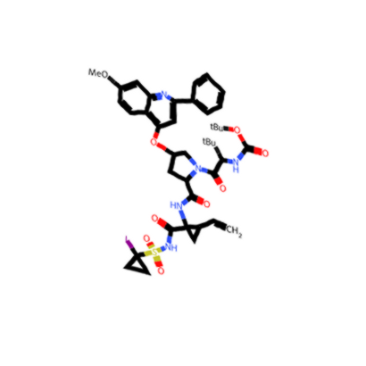 C=CC1CC1(NC(=O)C1CC(Oc2cc(-c3ccccc3)nc3cc(OC)ccc23)CN1C(=O)C(NC(=O)OC(C)(C)C)C(C)(C)C)C(=O)NS(=O)(=O)C1(I)CC1